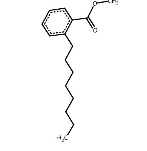 [CH2]CCCCCCCc1ccccc1C(=O)OC